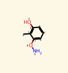 Cc1c(O)cccc1ON